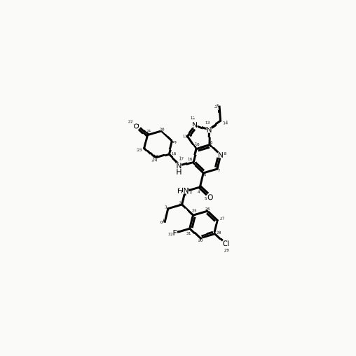 CCC(NC(=O)c1cnc2c(cnn2CC)c1NC1CCC(=O)CC1)c1ccc(Cl)cc1F